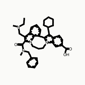 CCN(C)Cc1c(C(=O)N(C)Cc2ccccc2)n2c3c(cccc13)-c1c(C3CCCCC3)c3ccc(C(=O)O)cc3n1CCC2